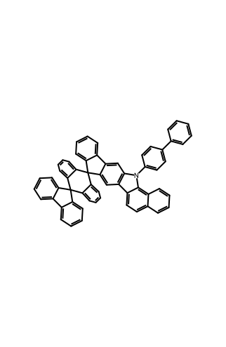 c1ccc(-c2ccc(-n3c4cc5c(cc4c4ccc6ccccc6c43)C3(c4ccccc4-5)c4ccccc4C4(c5ccccc5-c5ccccc54)c4ccccc43)cc2)cc1